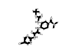 CN(C)C(=O)[C@H]1CC[C@H](NC(=S)C(=O)Nc2ncc(Cl)cn2)[C@H](NC(=O)OC(C)(C)C)C1